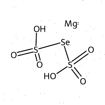 O=S(=O)(O)[Se]S(=O)(=O)O.[Mg]